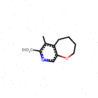 CCOC(=O)c1ncc2c(c1C)CCCCO2